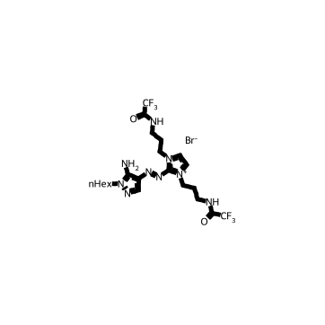 CCCCCCn1ncc(/N=N/c2n(CCCNC(=O)C(F)(F)F)cc[n+]2CCCNC(=O)C(F)(F)F)c1N.[Br-]